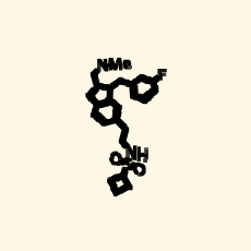 CNCC1Cc2ccc(CCNS(=O)(=O)C3CCC3)cc2C1Cc1cccc(F)c1